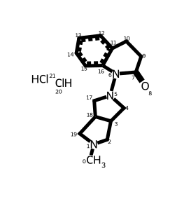 CN1CC2CN(N3C(=O)CCc4ccccc43)CC2C1.Cl.Cl